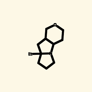 CCC12CCCN1C1CCOCC1C2